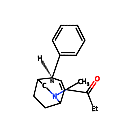 CCC(=O)C1=C[C@H](c2ccccc2)C2CCC1N(C)C2